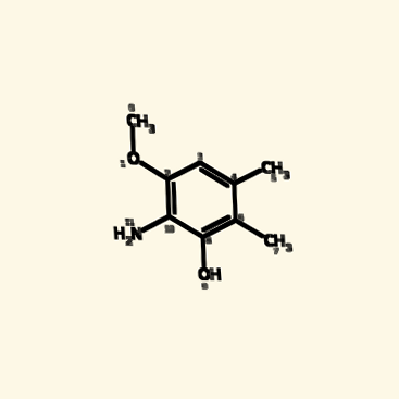 COc1cc(C)c(C)c(O)c1N